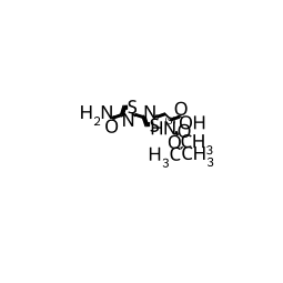 CC(C)(C)OC(=O)N[C@@H](Cc1nc(-c2nc(C(N)=O)cs2)cs1)C(=O)O